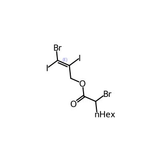 CCCCCCC(Br)C(=O)OC/C(I)=C(/Br)I